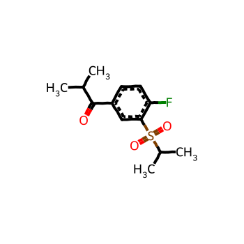 CC(C)C(=O)c1ccc(F)c(S(=O)(=O)C(C)C)c1